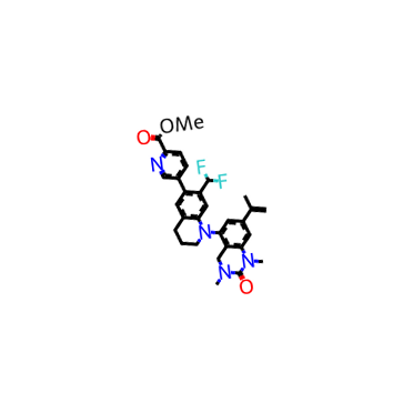 C=C(C)c1cc2c(c(N3CCCc4cc(-c5ccc(C(=O)OC)nc5)c(C(F)F)cc43)c1)CN(C)C(=O)N2C